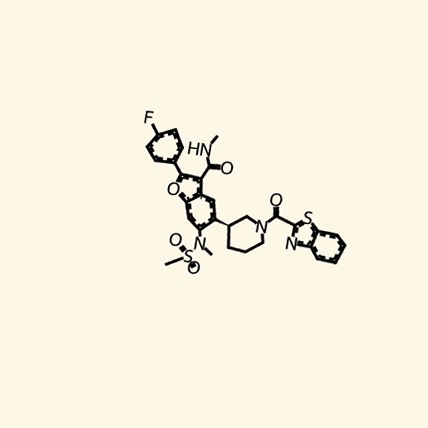 CNC(=O)c1c(-c2ccc(F)cc2)oc2cc(N(C)S(C)(=O)=O)c([C@@H]3CCCN(C(=O)c4nc5ccccc5s4)C3)cc12